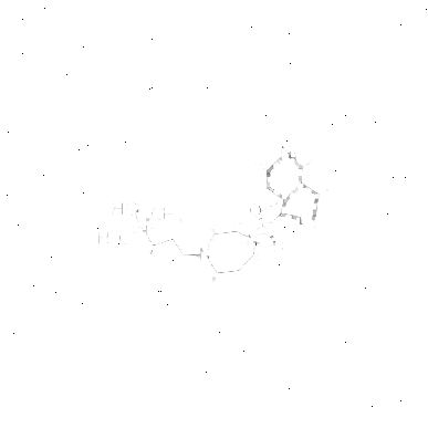 C[Si](C)(O)CCCN1CCCN(S(=O)(=O)c2cccc3cnccc23)CC1